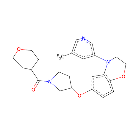 O=C(C1CCOCC1)N1CCC(Oc2ccc3c(c2)N(c2cncc(C(F)(F)F)c2)CCO3)C1